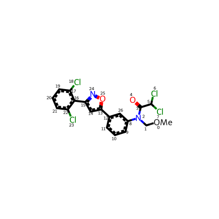 COCN(C(=O)C(Cl)Cl)c1cccc(-c2cc(-c3c(Cl)cccc3Cl)no2)c1